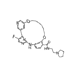 O=C(NCCN1CCCC1)c1ccc2cc1OCCCCCCOc1cncc(c1)-c1nc(ncc1F)N2